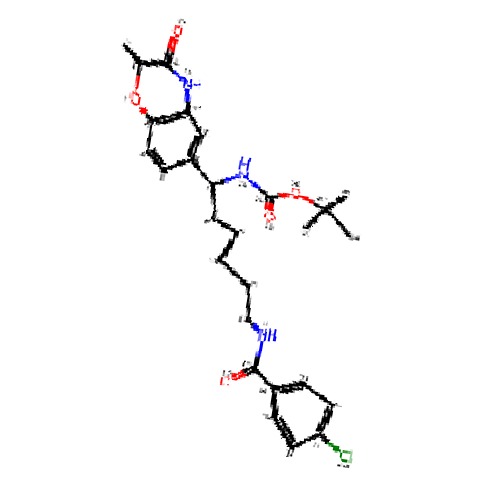 CC1Oc2ccc(C(CCCCCNC(=O)c3ccc(Cl)cc3)NC(=O)OC(C)(C)C)cc2NC1=O